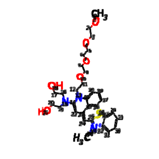 COCCOCCOCCOCCN1C(N(CCO)CCO)=C/C(=C/c2sc3ccccc3[n+]2C)c2ccccc21